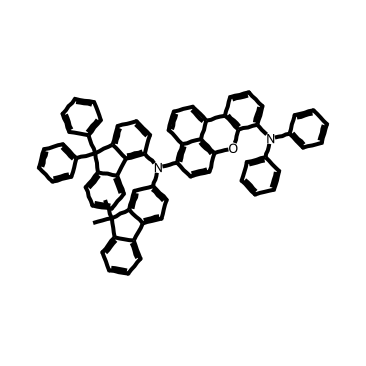 CC1(C)c2ccccc2-c2ccc(N(c3cccc4c3-c3ccccc3C4(c3ccccc3)c3ccccc3)c3ccc4c5c(cccc35)-c3cccc(N(c5ccccc5)c5ccccc5)c3O4)cc21